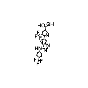 OCC(O)c1cnc(-c2cnc3c(Nc4ccc(C(F)(F)F)cc4)ncnc3c2)c(C(F)(F)F)c1